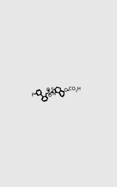 O=C(O)COc1cccc2c1CCc1sc(S(=O)(=O)Cc3ccccc3-c3cccc(F)c3)nc1-2